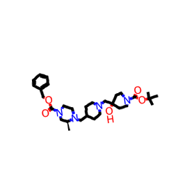 C[C@H]1CN(C(=O)OCc2ccccc2)CCN1CC1CCN(CC2(O)CCN(C(=O)OC(C)(C)C)CC2)CC1